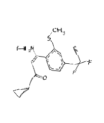 CSc1cc(C(F)(F)F)ccc1/C(N)=C\C(=O)C1CC1